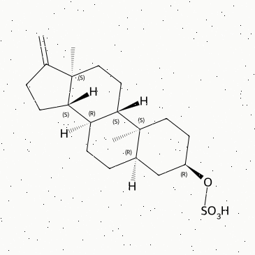 C=C1CC[C@H]2[C@@H]3CC[C@@H]4C[C@H](OS(=O)(=O)O)CC[C@]4(C)[C@H]3CC[C@]12C